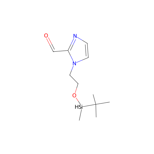 C[SiH](OCCn1ccnc1C=O)C(C)(C)C